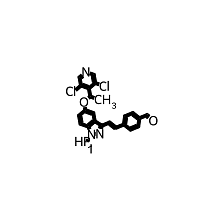 CC(Oc1ccc2c(c1)c(/C=C/c1ccc(C=O)cc1)nn2PI)c1c(Cl)cncc1Cl